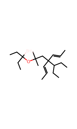 BC(CC)(CC)OC(C)(C)CC(C=CC)(C=CC)C(CC)CC